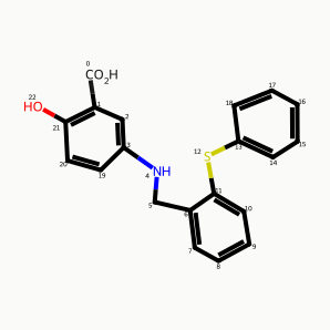 O=C(O)c1cc(NCc2ccccc2Sc2ccccc2)ccc1O